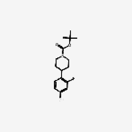 CC(C)(C)OC(=O)N1CCC(c2ccc(O)cc2F)CC1